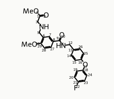 COC(=O)CNCc1cc(C(=O)NCc2ccc(Oc3ccc(F)cc3)cc2)ccc1OC